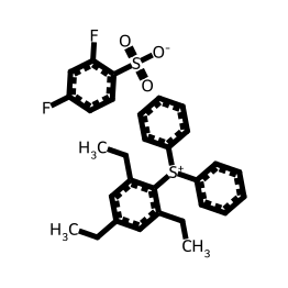 CCc1cc(CC)c([S+](c2ccccc2)c2ccccc2)c(CC)c1.O=S(=O)([O-])c1ccc(F)cc1F